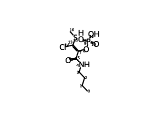 CCCCNC(=O)C(OP(=O)(O)O)=C(Cl)SC